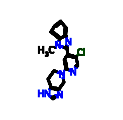 Cn1c(-c2cc(N3CCc4[nH]cnc4C3)ncc2Cl)nc2ccccc21